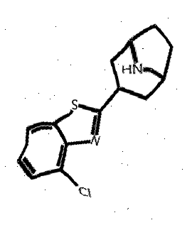 Clc1cccc2sc(C3CC4CCC(C3)N4)nc12